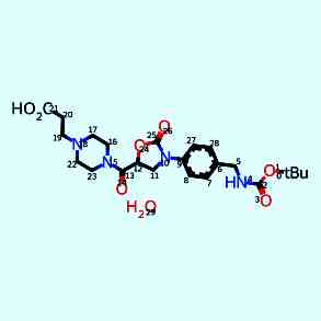 CC(C)(C)OC(=O)NCc1ccc(N2CC(C(=O)N3CCN(CCC(=O)O)CC3)OC2=O)cc1.O